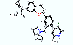 COc1cc(-c2ccc([C@@H]3CCc4ccc(C(C5CC5)[C@H](C)C(=O)O)cc4O3)cc2CN2CCCC23CCC3)c(F)cn1